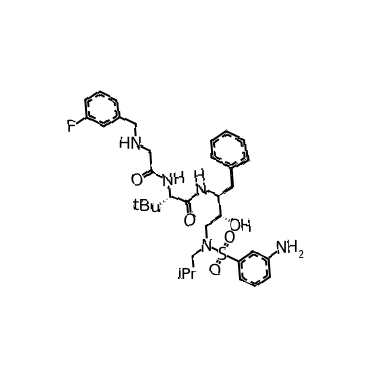 CC(C)CN(C[C@@H](O)[C@H](Cc1ccccc1)NC(=O)[C@@H](NC(=O)CNCc1cccc(F)c1)C(C)(C)C)S(=O)(=O)c1cccc(N)c1